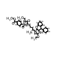 CCOC(=O)[C@H](CCC[C@H](C)NC(=O)[C@@H](NC(=O)OC)C(c1ccccc1)c1ccccc1)NS(=O)(=O)c1ccc(C(=O)OC)cc1